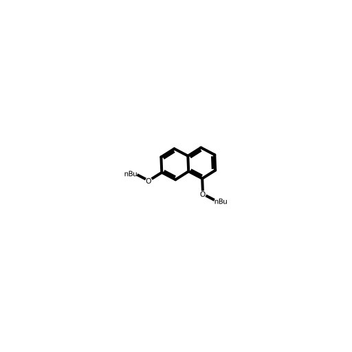 CCCCOc1ccc2cccc(OCCCC)c2c1